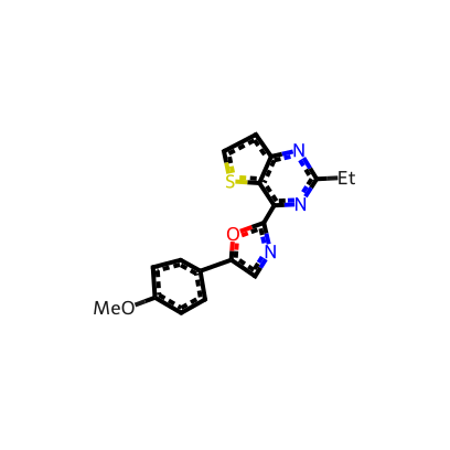 CCc1nc(-c2ncc(-c3ccc(OC)cc3)o2)c2sccc2n1